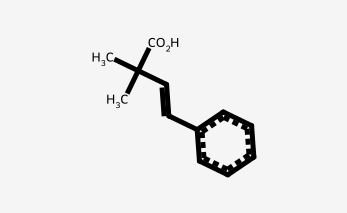 CC(C)(C=Cc1ccccc1)C(=O)O